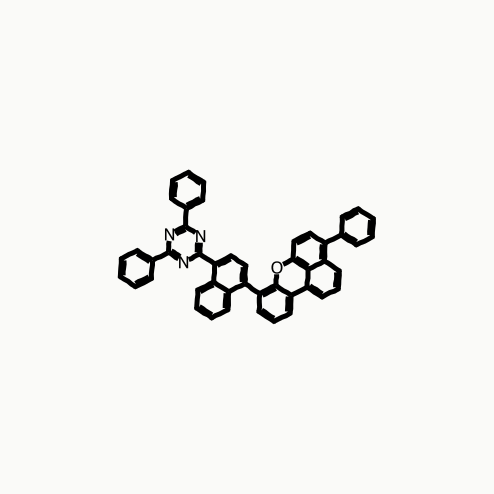 c1ccc(-c2nc(-c3ccccc3)nc(-c3ccc(-c4cccc5c4Oc4ccc(-c6ccccc6)c6cccc-5c46)c4ccccc34)n2)cc1